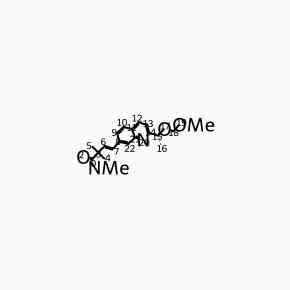 CNC(=O)C(C)(C)/C=C/c1ccc2ccc([C@@H](C)OCOC)nc2c1